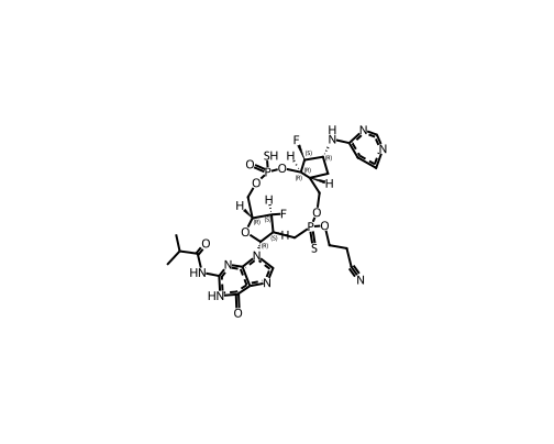 CC(C)C(=O)Nc1nc2c(ncn2[C@@H]2O[C@@H]3COP(=O)(S)O[C@@H]4[C@@H](COP(=S)(OCCC#N)C[C@@H]2[C@@H]3F)C[C@@H](Nc2ccncn2)[C@@H]4F)c(=O)[nH]1